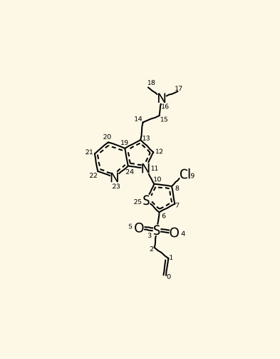 C=CCS(=O)(=O)c1cc(Cl)c(-n2cc(CCN(C)C)c3cccnc32)s1